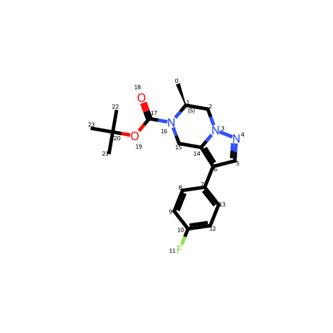 C[C@H]1Cn2ncc(-c3ccc(F)cc3)c2CN1C(=O)OC(C)(C)C